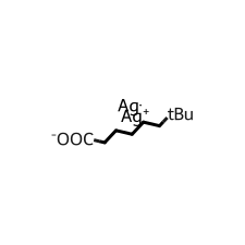 CC(C)(C)CCCCCC(=O)[O-].[Ag+].[Ag]